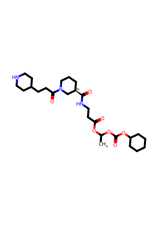 CC(OC(=O)CCNC(=O)[C@@H]1CCCN(C(=O)CCC2CCNCC2)C1)OC(=O)OC1CCCCC1